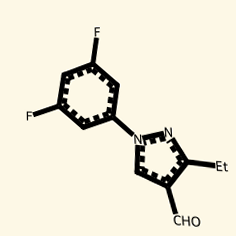 CCc1nn(-c2cc(F)cc(F)c2)cc1C=O